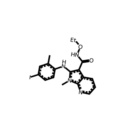 CCONC(=O)c1c(Nc2ccc(I)cc2C)n(C)c2ncccc12